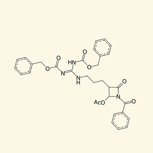 CC(=O)OC1C(CCCNC(=NC(=O)OCc2ccccc2)NC(=O)OCc2ccccc2)C(=O)N1C(=O)c1ccccc1